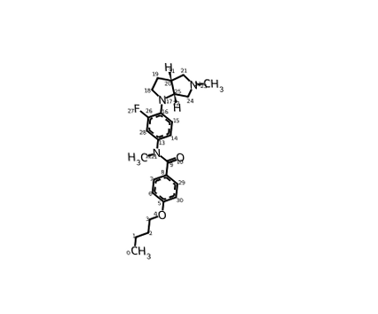 CCCCOc1ccc(C(=O)N(C)c2ccc(N3CC[C@@H]4CN(C)C[C@@H]43)c(F)c2)cc1